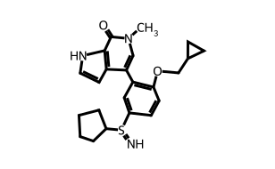 Cn1cc(-c2cc(S(=N)C3CCCC3)ccc2OCC2CC2)c2cc[nH]c2c1=O